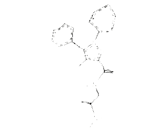 CNC(=O)CNC(=O)c1nn(-c2ccccc2)c(-c2ccccc2)c1C